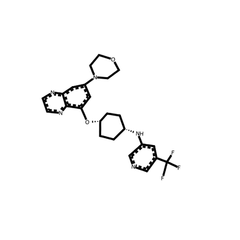 FC(F)(F)c1cncc(N[C@H]2CC[C@@H](Oc3cc(N4CCOCC4)cc4nccnc34)CC2)c1